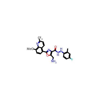 COc1ccc(-c2nc(C(=O)NNc3ccc(F)cc3C)c(CN)o2)c2ccc(C(F)(F)F)nc12